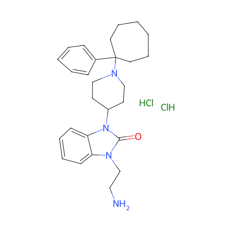 Cl.Cl.NCCn1c(=O)n(C2CCN(C3(c4ccccc4)CCCCCC3)CC2)c2ccccc21